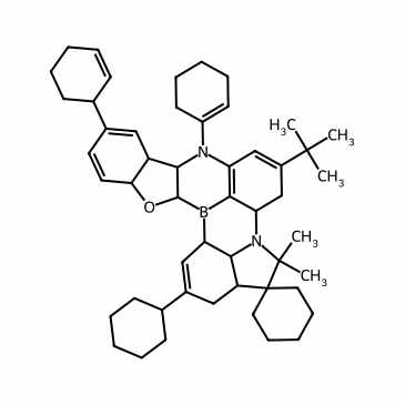 CC(C)(C)C1=CC2=C3B(C4C=C(C5CCCCC5)CC5C4N(C3C1)C(C)(C)C51CCCCC1)C1OC3C=CC(C4C=CCCC4)=CC3C1N2C1=CCCCC1